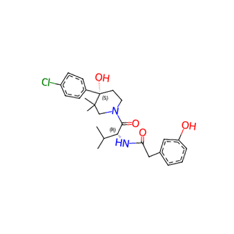 CC(C)[C@@H](NC(=O)Cc1cccc(O)c1)C(=O)N1CC[C@](O)(c2ccc(Cl)cc2)C(C)(C)C1